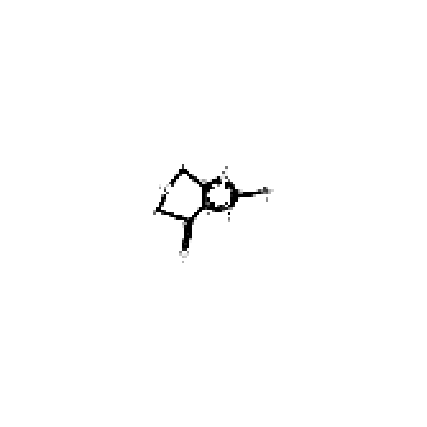 O=C1CCCc2nc(Br)sc21